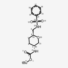 CC(C)(C)OC(=O)N[C@@H]1CC[C@@H](CNS(=O)(=O)c2ccccc2)OC1